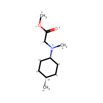 COC(=O)CN(C)[C@H]1CC[C@H](C)CC1